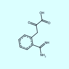 N=C(N)c1ccccc1CC(=O)C(=O)O